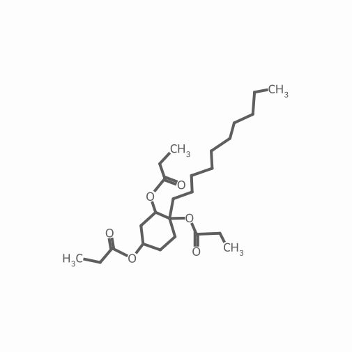 CCCCCCCCCCC1(OC(=O)CC)CCC(OC(=O)CC)CC1OC(=O)CC